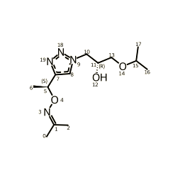 CC(C)=NO[C@@H](C)c1cn(C[C@@H](O)COC(C)C)nn1